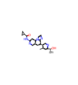 CCC[C@H](O)c1cc(C)c(-c2cc3cnc(NC(=O)C4CC4)cc3n3ccnc23)cn1